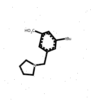 CC(C)(C)c1cc(CN2CCCC2)cc(C(=O)O)c1